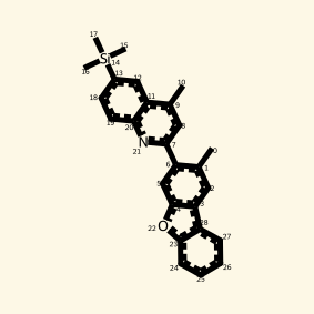 Cc1cc2c(cc1-c1cc(C)c3cc([Si](C)(C)C)ccc3n1)oc1ccccc12